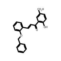 O=C(O)c1ccc(O)c(C(=O)C=Cc2ccccc2OCc2ccccc2)c1